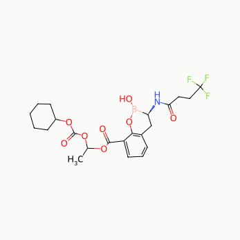 CC(OC(=O)OC1CCCCC1)OC(=O)c1cccc2c1OB(O)[C@@H](NC(=O)CCC(F)(F)F)C2